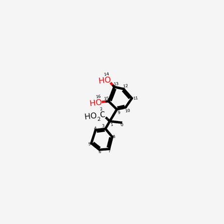 CC(C(=O)O)(c1ccccc1)c1cccc(O)c1O